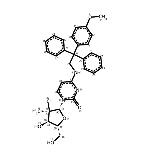 COc1ccc(C(CNc2ccn([C@@H]3O[C@H](CO)[C@@H](O)[C@@]3(C)Cl)c(=O)n2)(c2ccccc2)c2ccccc2)cc1